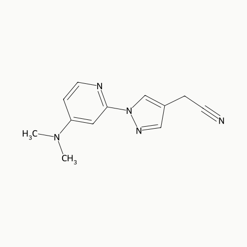 CN(C)c1ccnc(-n2cc(CC#N)cn2)c1